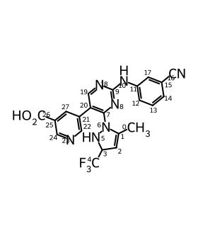 CC1=CC(C(F)(F)F)NN1c1nc(Nc2cccc(C#N)c2)ncc1-c1cncc(C(=O)O)c1